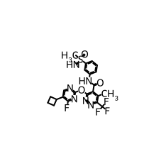 Cc1c(C(F)(F)F)nnc(Oc2ncc(C3CCC3)c(F)n2)c1C(=O)Nc1cccc(S(C)(=N)=O)c1